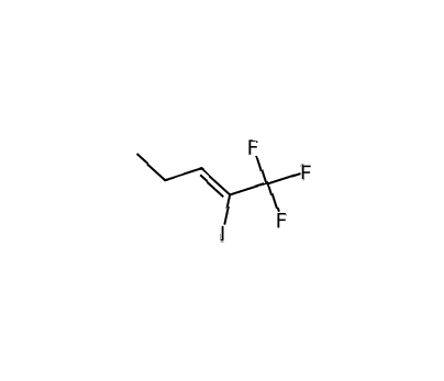 CC/C=C(\I)C(F)(F)F